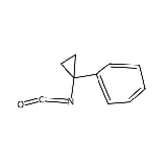 O=C=NC1(c2ccccc2)CC1